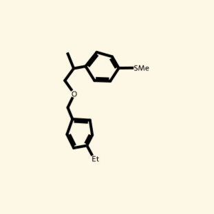 CCc1ccc(COCC(C)c2ccc(SC)cc2)cc1